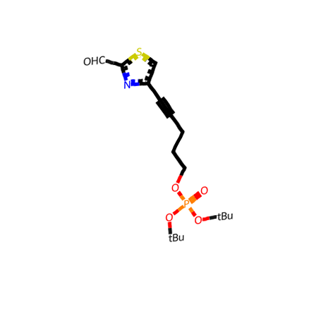 CC(C)(C)OP(=O)(OCCCC#Cc1csc(C=O)n1)OC(C)(C)C